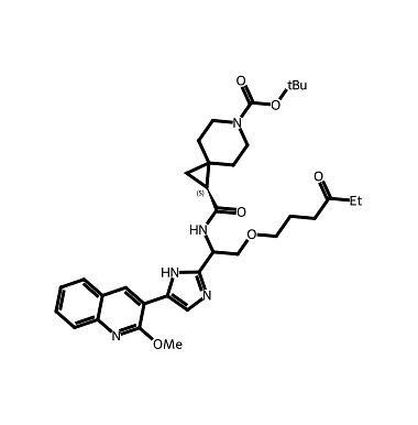 CCC(=O)CCCOCC(NC(=O)[C@H]1CC12CCN(C(=O)OC(C)(C)C)CC2)c1ncc(-c2cc3ccccc3nc2OC)[nH]1